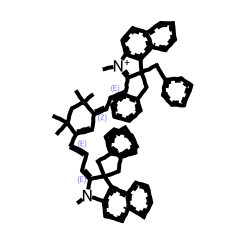 CN1/C(=C/C=C/C2=CC(=C/C=C/C3=[N+](C)c4ccc5ccccc5c4C3(Cc3ccccc3)Cc3ccccc3)/C(C)(C)CC2(C)C)C(Cc2ccccc2)(Cc2ccccc2)c2c1ccc1ccccc21